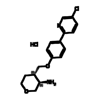 Cl.N[C@H]1COCC[C@@H]1COc1ccc(-c2ccc(Cl)cn2)cc1